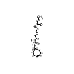 CCCC(=O)NCCOCCNC(=O)OC1C2CCC#CCCC21